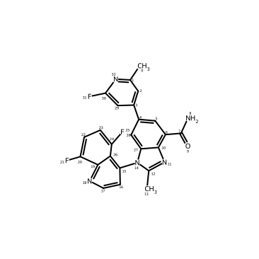 Cc1cc(-c2cc(C(N)=O)c3nc(C)n(-c4ccnc5c(F)ccc(F)c45)c3c2)cc(F)n1